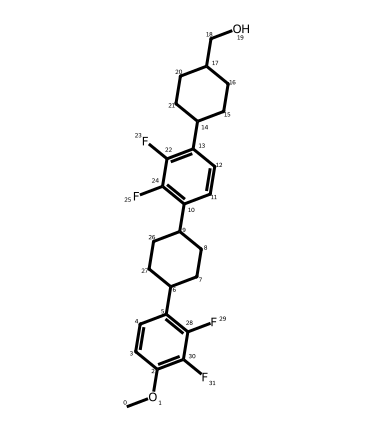 COc1ccc(C2CCC(c3ccc(C4CCC(CO)CC4)c(F)c3F)CC2)c(F)c1F